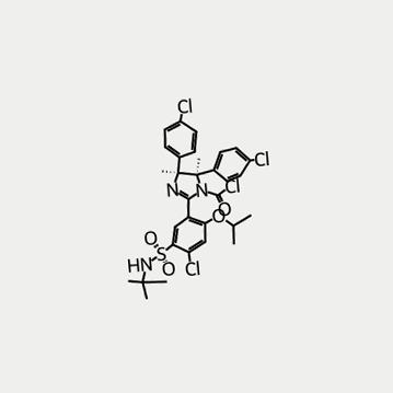 CC(C)Oc1cc(Cl)c(S(=O)(=O)NC(C)(C)C)cc1C1=N[C@@](C)(c2ccc(Cl)cc2)[C@@](C)(c2ccc(Cl)cc2)N1C(=O)Cl